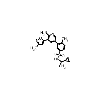 Cc1cc(-c2cc(-c3cc(S(=O)(=O)NC(C)C4CC4)ccc3C)cnc2N)on1